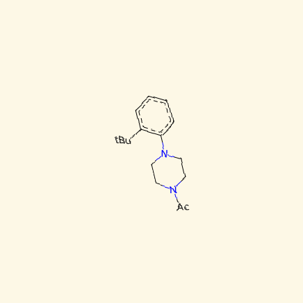 CC(=O)N1CCN(c2ccccc2C(C)(C)C)CC1